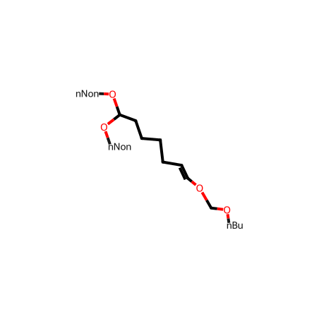 CCCCCCCCCOC(CCCCC=COCOCCCC)OCCCCCCCCC